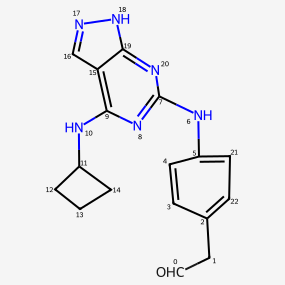 O=CCc1ccc(Nc2nc(NC3CCC3)c3cn[nH]c3n2)cc1